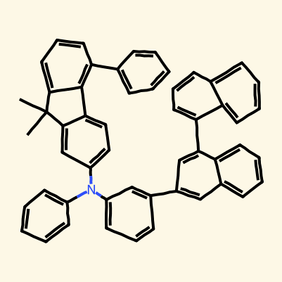 CC1(C)c2cc(N(c3ccccc3)c3cccc(-c4cc(-c5cccc6ccccc56)c5ccccc5c4)c3)ccc2-c2c(-c3ccccc3)cccc21